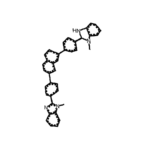 CN1c2ccccc2NC1c1ccc(-c2ccc3ccc(-c4ccc(-c5nc6ccccc6n5C)cc4)cc3c2)cc1